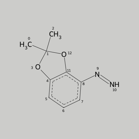 CC1(C)Oc2cccc(N=N)c2O1